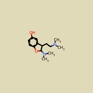 CN(C)CCC1c2cc(O)ccc2OC1N(C)C